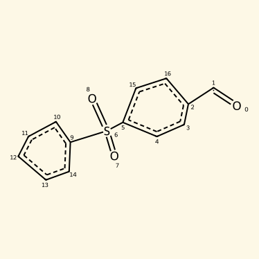 O=[C]c1ccc(S(=O)(=O)c2ccccc2)cc1